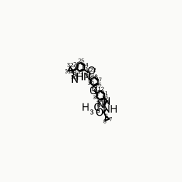 Cn1c(NC(=O)C2CC2)nc2ccc(Oc3cccc(NC(=O)c4cccc(C5(C#N)CC5)c4)c3)cc21